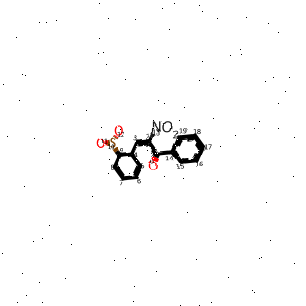 O=C(C(=CC1C=CC=CC1=S(=O)=O)[N+](=O)[O-])c1ccccc1